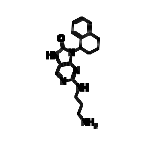 NCCCNc1ncc2[nH]c(=O)n(C3CCCc4ccccc43)c2n1